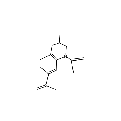 C=C(C)/C(C)=C/C1=C(C)CC(C)CN1C(=C)C